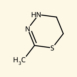 CC1=NNCCS1